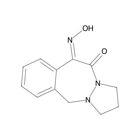 O=C1/C(=N\O)c2ccccc2CN2CCCN12